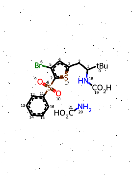 CC(C)(C)C(Cc1cc(Br)c(S(=O)(=O)c2ccccc2)s1)NC(=O)O.NC(=O)O